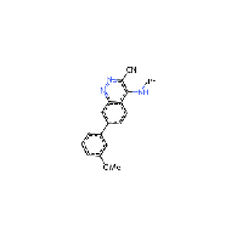 COc1cccc(-c2ccc3c(NC(C)C)c(C#N)nnc3c2)c1